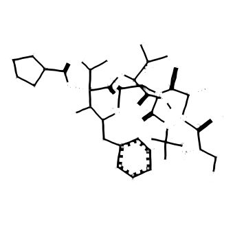 COC(=O)C(NC(=O)[C@](NC(=O)C1CCCC1)(C(C)C)C(O)C(Cc1ccccc1)NC(=O)[C@H](C)N(C(=O)OC(C)(C)C)C(=O)[C@H](C)NC(=O)[C@@H](N)CO)C(C)C